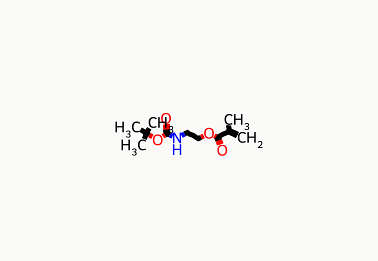 C=C(C)C(=O)OCCNC(=O)OC(C)(C)C